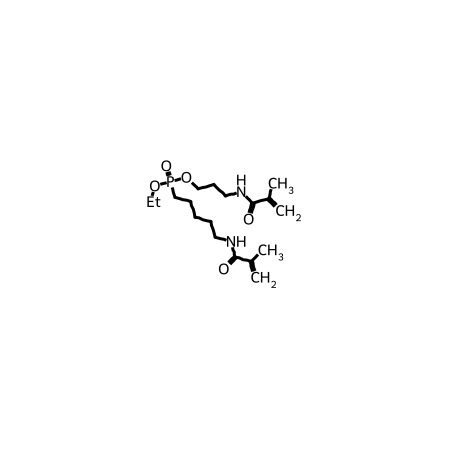 C=C(C)C(=O)NCCCCCP(=O)(OCC)OCCCNC(=O)C(=C)C